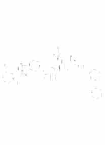 COC(=O)[C@H](Cc1ccc(NC(=O)c2c(Cl)cccc2Cl)cc1)NC(=O)[C@H]1CSCN1C(=O)OCc1cccc2c1Cc1ccccc1-2